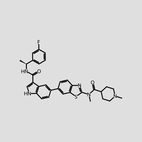 C[C@H](NC(=O)c1c[nH]c2ccc(-c3ccc4nc(N(C)C(=O)C5CCN(C)CC5)sc4c3)cc12)c1cccc(F)c1